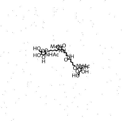 CNC(=O)C(CCCCNC(=O)CCCCCOC1OC(CO)C(O)C(O)C1NC(C)=O)NC(=O)CCCCCOC1OC(CO)C(O)C(O)C1NC(C)=O